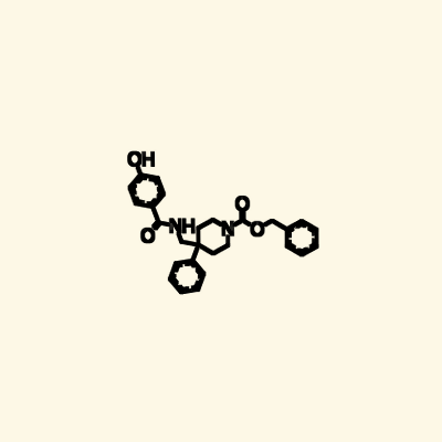 O=C(NCC1(c2ccccc2)CCN(C(=O)OCc2ccccc2)CC1)c1ccc(O)cc1